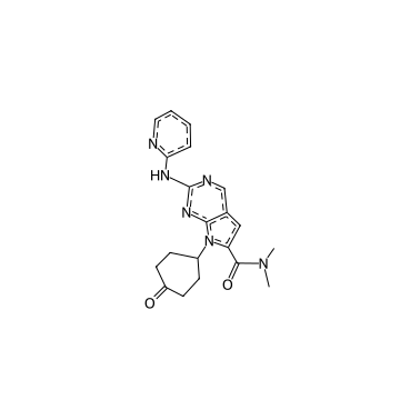 CN(C)C(=O)c1cc2cnc(Nc3ccccn3)nc2n1C1CCC(=O)CC1